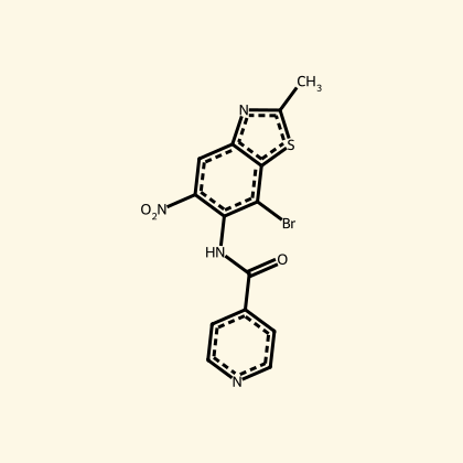 Cc1nc2cc([N+](=O)[O-])c(NC(=O)c3ccncc3)c(Br)c2s1